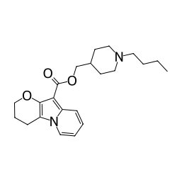 CCCCN1CCC(COC(=O)c2c3c(n4ccccc24)CCCO3)CC1